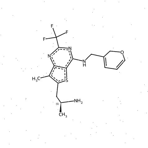 Cc1c(C[C@H](C)N)sc2c(NCC3=CC=COC3)nc(C(F)(F)F)nc12